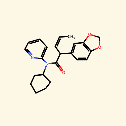 C/C=C\C(C(=O)N(c1ccccn1)C1CCCCC1)c1ccc2c(c1)OCO2